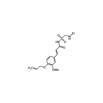 C=CCOc1ccc(/C=C/C(=O)NS(=O)(=O)CNCC)cc1OC